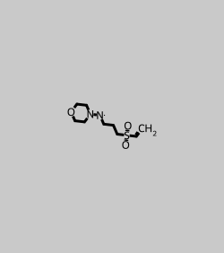 C=CS(=O)(=O)CCC[N]N1CCOCC1